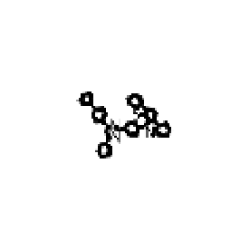 c1ccc(-c2ccc(-c3cc(-c4ccccc4)nc(-c4ccc(-c5nc6ccccc6c6ccc7c8ccccc8sc7c56)cc4)n3)cc2)cc1